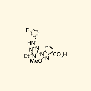 CCc1nc(NCc2cccc(F)c2)nc(-n2c(OC)nc3c(C(=O)O)cccc32)n1